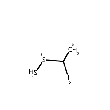 CC(I)SS